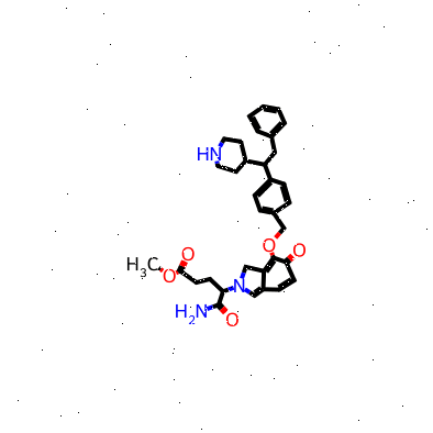 COC(=O)CCC(C(N)=O)N1C=C2C=CC(=O)C(OCc3ccc(C(Cc4ccccc4)C4CCNCC4)cc3)=C2C1